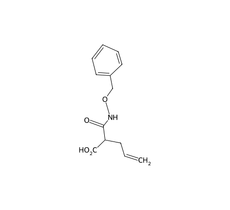 C=CCC(C(=O)O)C(=O)NOCc1ccccc1